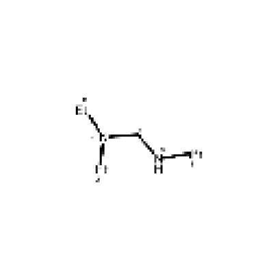 CCN(CC)CNC(C)C